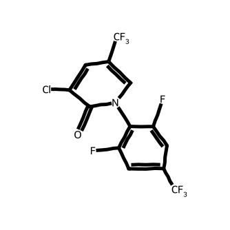 O=c1c(Cl)cc(C(F)(F)F)cn1-c1c(F)cc(C(F)(F)F)cc1F